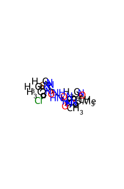 COc1cc2c(cc1-c1c(C)noc1C)ncc1c2n(C(C)c2ccccn2)c(=O)n1CC(=O)NCCNC(=O)CC1N=C(c2ccc(Cl)cc2)c2c(sc(C)c2C)-n2c(C)nnc21